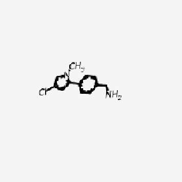 Cn1cc(Cl)cc1-c1ccc(CN)cc1